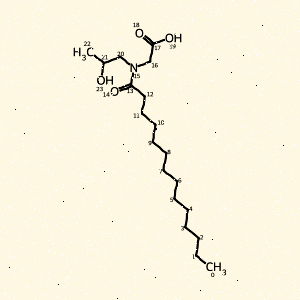 CCCCCCCCCCCCCC(=O)N(CC(=O)O)CC(C)O